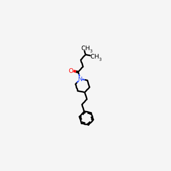 CC(C)CCC(=O)N1CCC(CCc2ccccc2)CC1